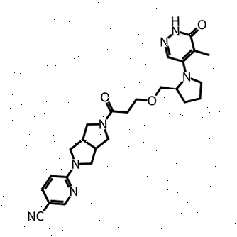 Cc1c(N2CCC[C@H]2COCCC(=O)N2CC3CN(c4ccc(C#N)cn4)CC3C2)cn[nH]c1=O